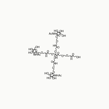 CC(=O)N[C@H]1[C@H](OCCOCCNC(=O)CCOCC(COCCC(=O)NCCOCCO[C@@H]2O[C@H](CO)[C@H](O)[C@H](O)[C@H]2NC(C)=O)(COCCC(=O)NCCOCCO[C@@H]2O[C@H](CO)[C@H](O)[C@H](O)[C@H]2NC(C)=O)NC(=O)CCOCCOCCNC(=O)CCO)O[C@H](CO)[C@H](O)[C@@H]1O